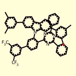 Cc1cc(C)cc(-c2ccc3c4ccc(-c5cc(C)cc(C)c5)cc4n(-c4cc(-c5cc(C(F)(F)F)cc(C(F)(F)F)c5)ccc4-c4nc(-c5ccccc5)nc(-c5ccccc5)n4)c3c2)c1